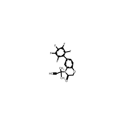 C#CC(C)(C)N1C(=O)COc2ccc(-c3c(F)c(F)c(F)c(F)c3F)cc21